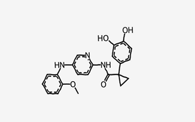 COc1ccccc1Nc1ccc(NC(=O)C2(c3ccc(O)c(O)c3)CC2)nc1